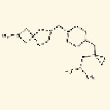 CC(C)CC1(CN2CCC(CN3CCC4(CN(C)C4)C3)CC2)CC1